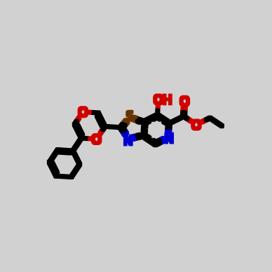 CCOC(=O)c1ncc2nc(C3=COC=C(C4=CC=CCC4)O3)sc2c1O